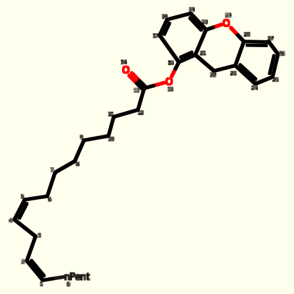 CCCCC/C=C\C/C=C\CCCCCCCC(=O)Oc1cccc2c1Cc1ccccc1O2